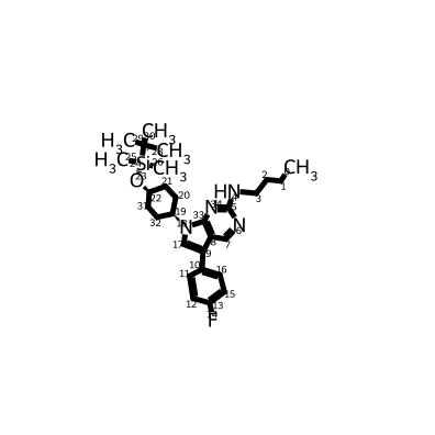 CCCCNc1ncc2c(-c3ccc(F)cc3)cn([C@H]3CC[C@H](O[Si](C)(C)C(C)(C)C)CC3)c2n1